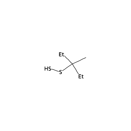 CCC(C)(CC)SS